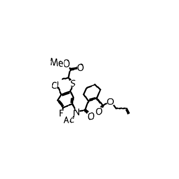 C=CCOC(=O)C1=C(C(=O)N(C(C)=O)c2cc(SC(C)C(=O)OC)c(Cl)cc2F)CCCC1